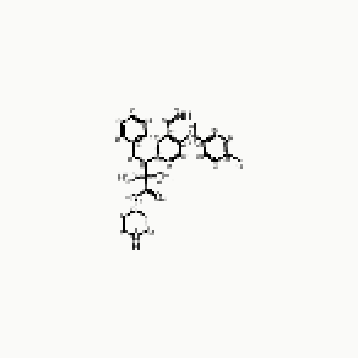 CC(C)(C(=O)NC1CCNCC1)C(Cc1ccccc1)c1ccc(Nc2ccc(F)cc2)c(C=N)c1